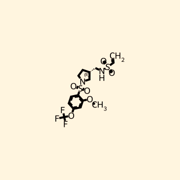 C=CS(=O)(=O)NC[C@H]1CCN(S(=O)(=O)c2ccc(OC(F)(F)F)cc2OC)C1